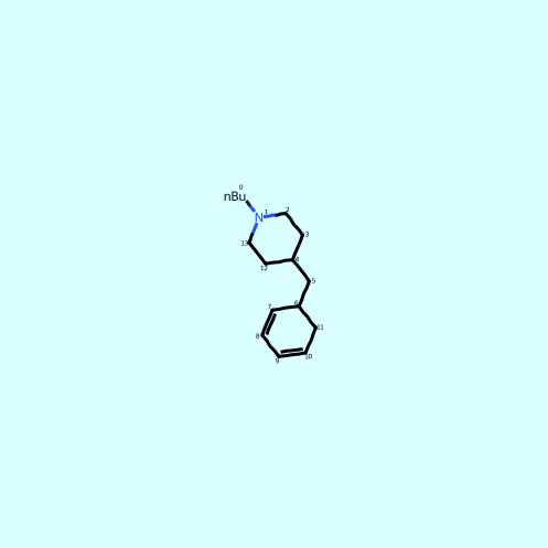 CCCCN1CCC(CC2C=CC=CC2)CC1